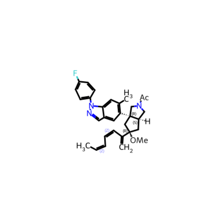 C=C(/C=C\C=C/C)[C@@]1(OC)C[C@@H]2CN(C(C)=O)C[C@]2(c2cc3cnn(-c4ccc(F)cc4)c3cc2C)C1